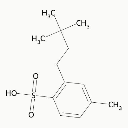 Cc1ccc(S(=O)(=O)O)c(CCC(C)(C)C)c1